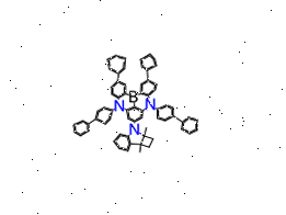 CC12CCC1(C)N(c1cc3c4c(c1)N(c1ccc(-c5ccccc5)cc1)c1ccc(-c5ccccc5)cc1B4c1cc(-c4ccccc4)ccc1N3c1ccc(-c3ccccc3)cc1)c1ccccc12